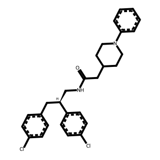 O=C(CC1CCN(c2ccccc2)CC1)NC[C@H](Cc1ccc(Cl)cc1)c1ccc(Cl)cc1